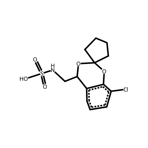 O=S(=O)(O)NCC1OC2(CCCC2)Oc2c(Cl)cccc21